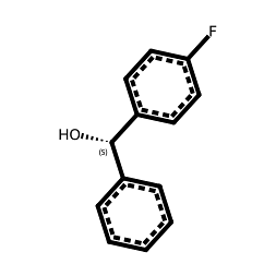 O[C@@H](c1ccccc1)c1ccc(F)cc1